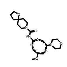 COc1cnc(N2CCOCC2)csc(NC(=O)N2CCC3(CCCO3)CC2)nc1